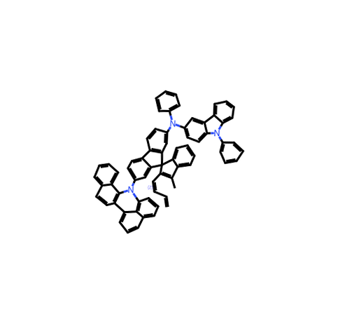 C=C/C=C\C1=C(C)c2ccccc2C12c1cc(N(c3ccccc3)c3ccc4c(c3)c3ccccc3n4-c3ccccc3)ccc1-c1ccc(N3c4c(ccc5ccccc45)-c4cccc5cccc3c45)cc12